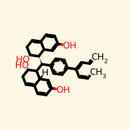 C=C/C=C(\C=C/C)c1ccc(C(C2[C@H](O)CC=C3C=CC(O)=C[C@H]32)[C@H]2C3C=C(O)C=CC3=CC[C@@H]2O)cc1